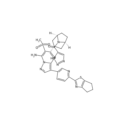 CS(=O)(=O)c1c([C@@H]2C[C@H]3CC[C@@H](C2)N3C(=O)c2cnn[nH]2)nc2c(-c3ccc(-c4nc5c(s4)CCC5)nc3)cnn2c1N